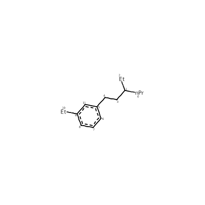 [CH2]CCC(C[CH2])CCc1cccc(CC)c1